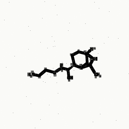 CC1N[C@H]2CC[C@@H](C(O)NOCCN)N1C2